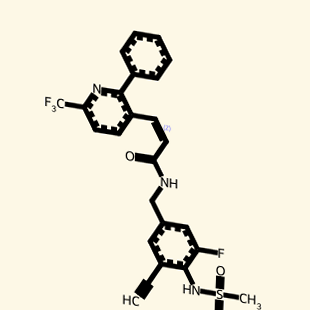 C#Cc1cc(CNC(=O)/C=C\c2ccc(C(F)(F)F)nc2-c2ccccc2)cc(F)c1NS(C)(=O)=O